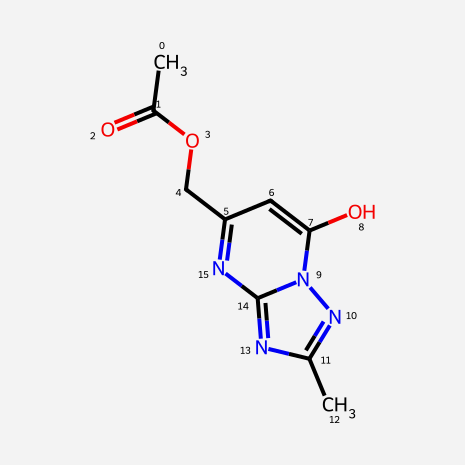 CC(=O)OCc1cc(O)n2nc(C)nc2n1